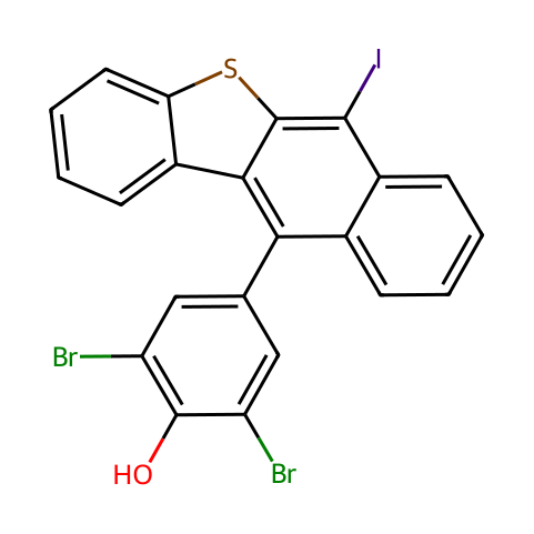 Oc1c(Br)cc(-c2c3ccccc3c(I)c3sc4ccccc4c23)cc1Br